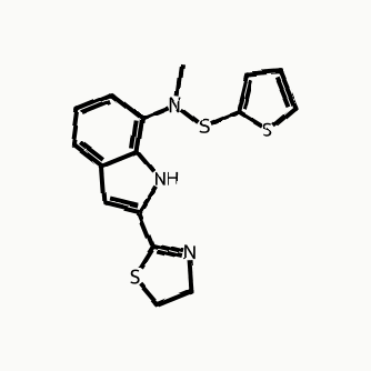 CN(Sc1cccs1)c1cccc2cc(C3=NCCS3)[nH]c12